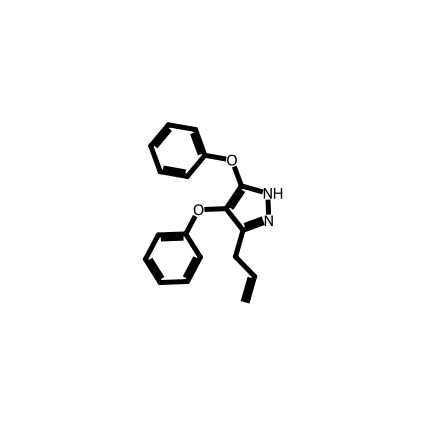 C=CCc1n[nH]c(Oc2ccccc2)c1Oc1ccccc1